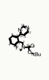 CN(Cc1c(F)cccc1-c1ccncn1)C(=O)OC(C)(C)C